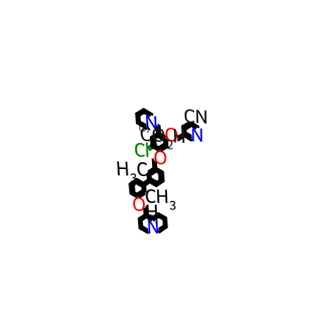 Cc1c(COc2cc(OCc3cncc(C#N)c3)c(CN3CCCC[C@H]3C(=O)O)cc2Cl)cccc1-c1cccc(OCC2CCCN3CCCC[C@H]23)c1C